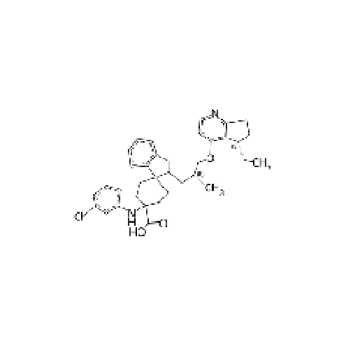 CC[C@H]1CCc2nccc(OC[C@H](C)CC3Cc4ccccc4C34CCC(Nc3cccc(Cl)c3)(C(=O)O)CC4)c21